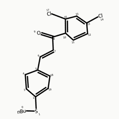 CCCCSc1ccc(/C=C/C(=O)c2ccc(Cl)cc2Cl)cc1